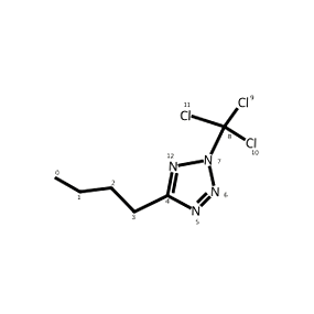 CCCCc1nnn(C(Cl)(Cl)Cl)n1